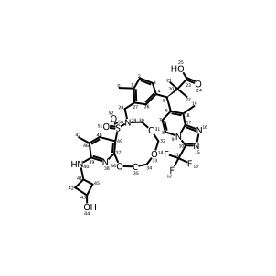 Cc1ccc([C@H](c2ccn3c(C(F)(F)F)nnc3c2C)C(C)(C)C(=O)O)cc1CN1CCCOCCOc2nc(NC3CC(O)C3)c(C)cc2S1(=O)=O